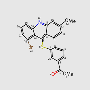 COC(=O)c1cccc(Sc2c3ccc(OC)cc3nc3cccc(Br)c23)c1